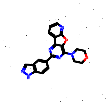 c1cnc2oc3c(N4CCOCC4)nc(-c4ccc5[nH]ncc5c4)nc3c2c1